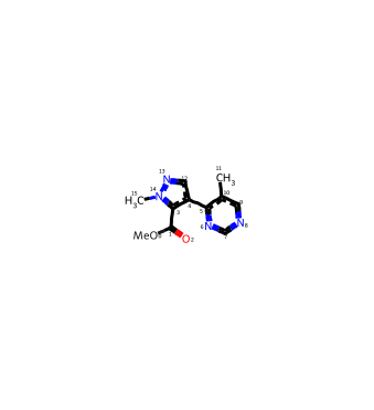 COC(=O)c1c(-c2ncncc2C)cnn1C